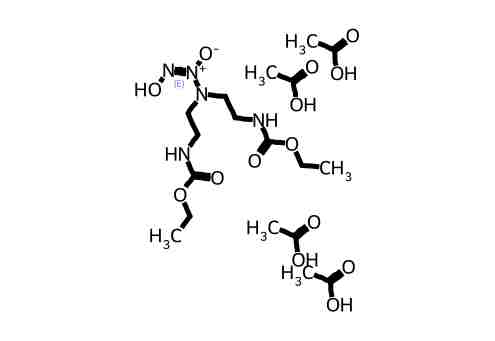 CC(=O)O.CC(=O)O.CC(=O)O.CC(=O)O.CCOC(=O)NCCN(CCNC(=O)OCC)/[N+]([O-])=N\O